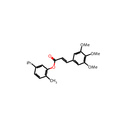 COc1cc(C=CC(=O)Oc2cc(C(C)C)ccc2C)cc(OC)c1OC